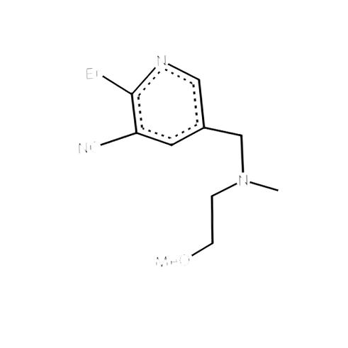 CCc1ncc(CN(C)CCOC)cc1C#N